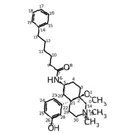 CO[C@]12CC[C@H](NC(=O)CCCCCc3ccccc3)C[C@]1(c1cccc(O)c1)CC[N+](C)(C)C2